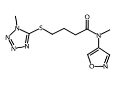 CN(C(=O)CCCSc1nnnn1C)c1cnoc1